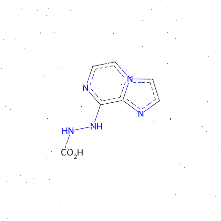 O=C(O)NNc1nccn2ccnc12